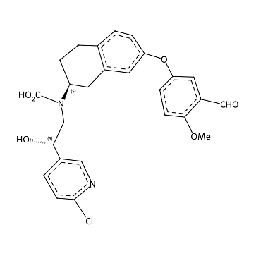 COc1ccc(Oc2ccc3c(c2)C[C@@H](N(C[C@@H](O)c2ccc(Cl)nc2)C(=O)O)CC3)cc1C=O